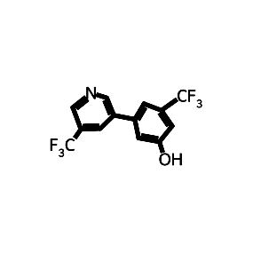 Oc1cc(-c2cncc(C(F)(F)F)c2)cc(C(F)(F)F)c1